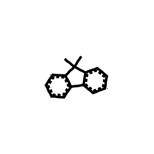 CC1(C)c2[c]cccc2-c2c[c]ccc21